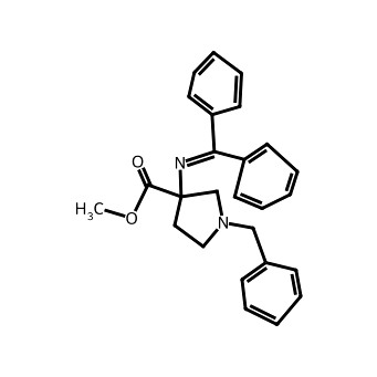 COC(=O)C1(N=C(c2ccccc2)c2ccccc2)CCN(Cc2ccccc2)C1